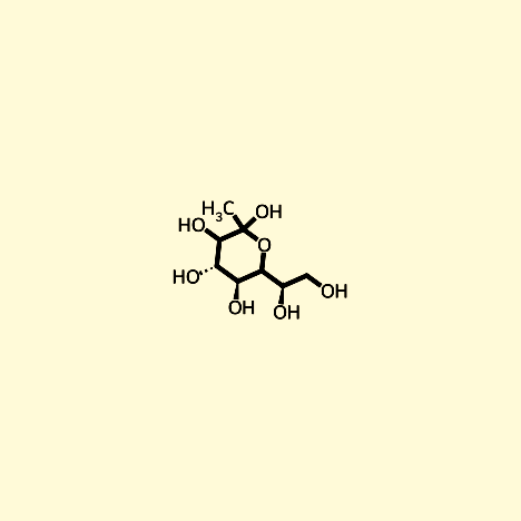 CC1(O)OC([C@H](O)CO)[C@@H](O)[C@H](O)C1O